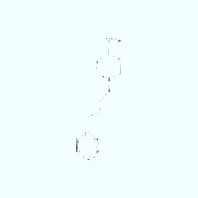 CNC1CCN(CCCCc2ccccc2)CC1